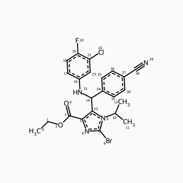 CCOC(=O)c1nc(Br)n(C(C)C)c1C(Nc1ccc(F)c(Cl)c1)c1ccc(C#N)cc1